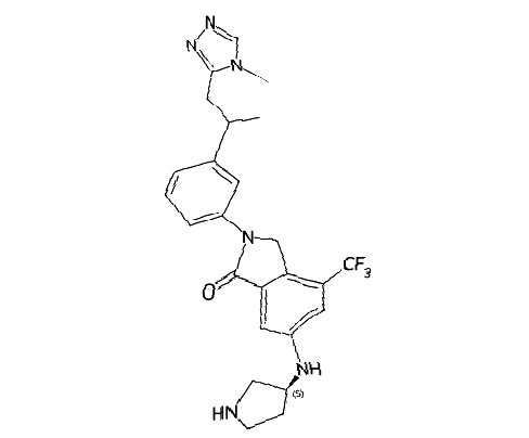 CC(Cc1nncn1C)c1cccc(N2Cc3c(cc(N[C@H]4CCNC4)cc3C(F)(F)F)C2=O)c1